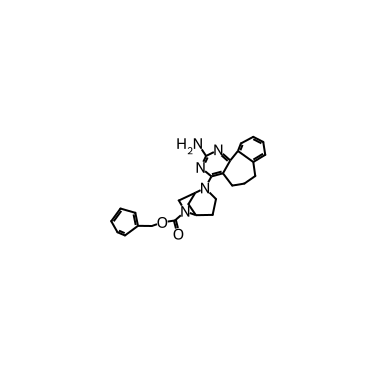 Nc1nc2c(c(N3CCC4CC3CN4C(=O)OCc3ccccc3)n1)CCCc1ccccc1-2